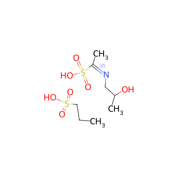 C/C(=N/CC(C)O)S(=O)(=O)O.CCCS(=O)(=O)O